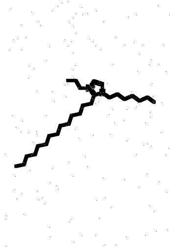 CCCCCCCCCCCCCCc1n(CCCCCCC)cc[n+]1CCC